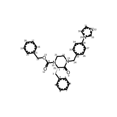 O=C1[C@H](Cc2ccccc2)N(C(=O)OCc2ccccc2)CCN1Cc1ccc(-n2ccnc2)cc1